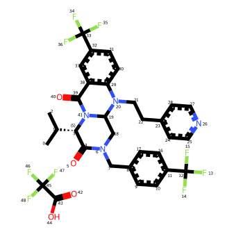 CC(C)[C@H]1C(=O)N(Cc2ccc(C(F)(F)F)cc2)CC2N(CCc3ccncc3)c3ccc(C(F)(F)F)cc3C(=O)N21.O=C(O)C(F)(F)F